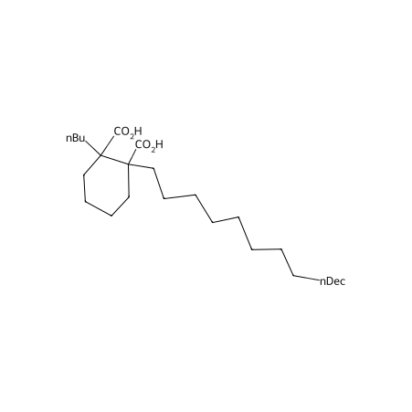 CCCCCCCCCCCCCCCCCCC1(C(=O)O)CCCCC1(CCCC)C(=O)O